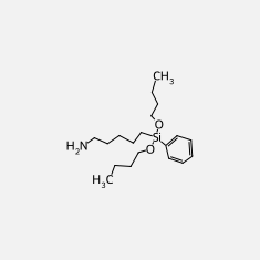 CCCCO[Si](CCCCCN)(OCCCC)c1ccccc1